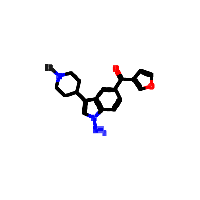 CCN1CCC(c2cn(N)c3ccc(C(=O)c4ccoc4)cc23)CC1